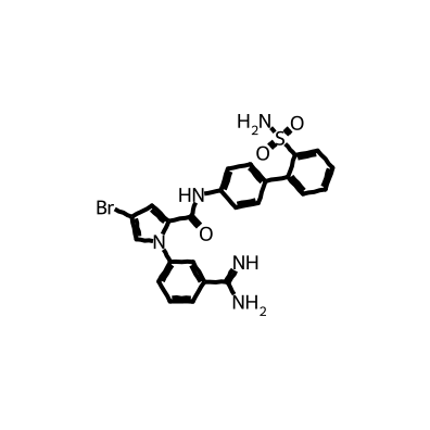 N=C(N)c1cccc(-n2cc(Br)cc2C(=O)Nc2ccc(-c3ccccc3S(N)(=O)=O)cc2)c1